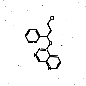 ClCC[C@@H](Oc1cncc2ncccc12)c1ccccc1